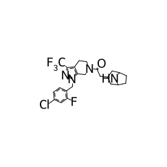 O=C(CC1CC2CCC(C1)N2)N1CCc2c(C(F)(F)F)nn(Cc3ccc(Cl)cc3F)c2C1